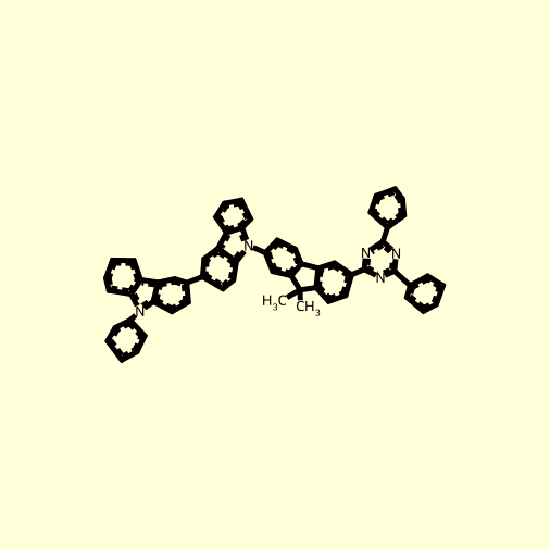 CC1(C)c2ccc(-c3nc(-c4ccccc4)nc(-c4ccccc4)n3)cc2-c2ccc(-n3c4ccccc4c4cc(-c5ccc6c(c5)c5ccccc5n6-c5ccccc5)ccc43)cc21